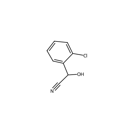 N#CC(O)c1ccccc1Cl